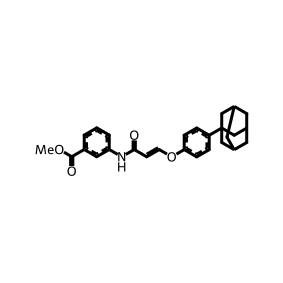 COC(=O)c1cccc(NC(=O)C=COc2ccc(C34CC5CC(CC(C5)C3)C4)cc2)c1